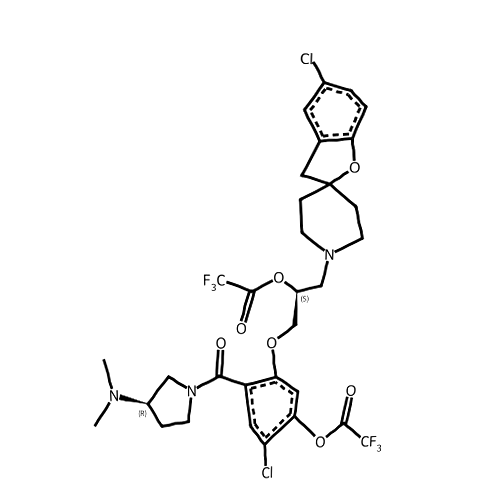 CN(C)[C@@H]1CCN(C(=O)c2cc(Cl)c(OC(=O)C(F)(F)F)cc2OC[C@H](CN2CCC3(CC2)Cc2cc(Cl)ccc2O3)OC(=O)C(F)(F)F)C1